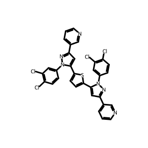 Clc1ccc(-n2nc(-c3cccnc3)cc2-c2ccc(-c3cc(-c4cccnc4)nn3-c3ccc(Cl)c(Cl)c3)s2)cc1Cl